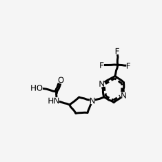 O=C(O)NC1CCN(c2cncc(C(F)(F)F)n2)C1